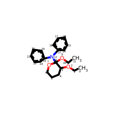 CCOC1CCCOC1(OCC)N(c1ccccc1)c1ccccc1